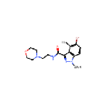 CC(C)(C)c1c(Br)ccc2c1c(C(=O)NCCN1CCOCC1)nn2C(=O)O